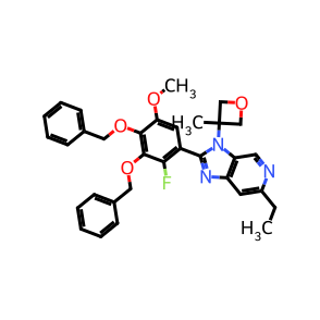 CCc1cc2nc(-c3cc(OC)c(OCc4ccccc4)c(OCc4ccccc4)c3F)n(C3(C)COC3)c2cn1